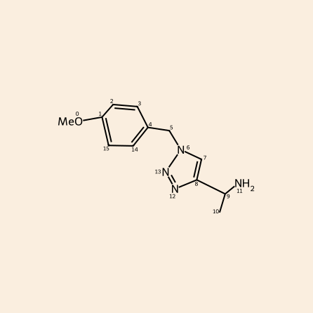 COc1ccc(Cn2cc(C(C)N)nn2)cc1